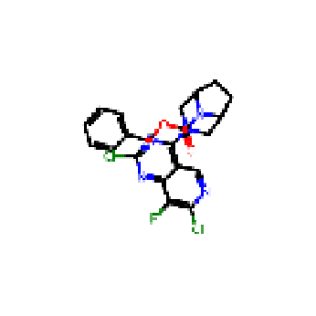 O=C(OCc1ccccc1)N1C2CCC1CN(c1nc(Cl)nc3c(F)c(Cl)ncc13)C2